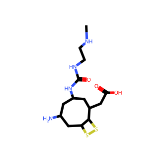 CNCCNC(=O)NC1CC(N)CC2SSC2C(CC(=O)O)C1